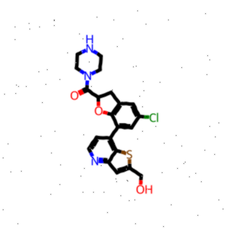 O=C(C1Cc2cc(Cl)cc(-c3ccnc4cc(CO)sc34)c2O1)N1CCNCC1